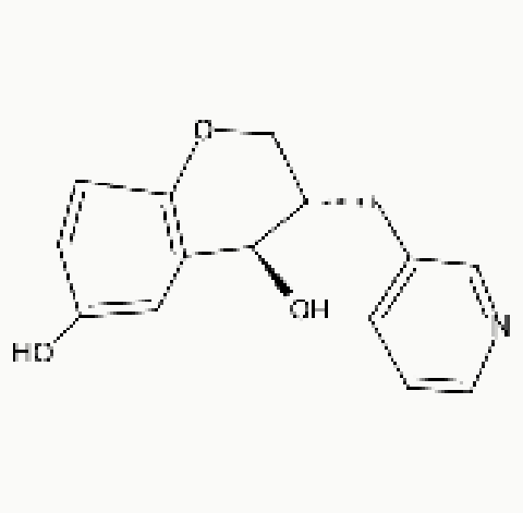 Oc1ccc2c(c1)[C@H](O)[C@@H](Cc1cccnc1)CO2